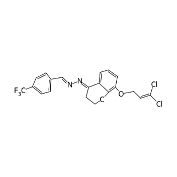 FC(F)(F)c1ccc(C=NN=C2CCCc3c(OCC=C(Cl)Cl)cccc32)cc1